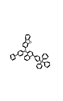 c1ccc(-c2ccc(N(c3ccc4c(c3)oc3ccccc34)c3ccc(-c4ccc([Si](c5ccccc5)(c5ccccc5)c5ccccc5)cc4)c4ccccc34)cc2)cc1